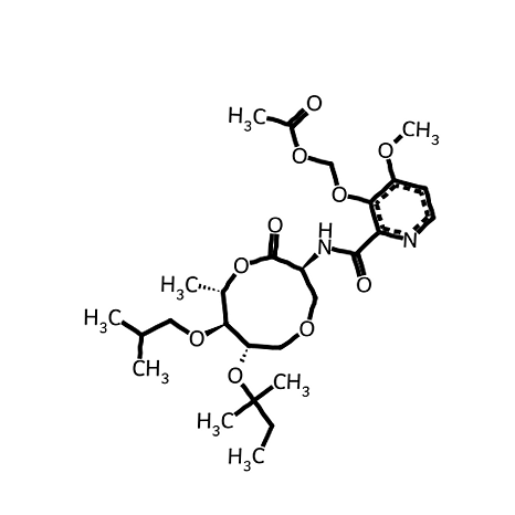 CCC(C)(C)O[C@H]1COC[C@H](NC(=O)c2nccc(OC)c2OCOC(C)=O)C(=O)O[C@@H](C)[C@@H]1OCC(C)C